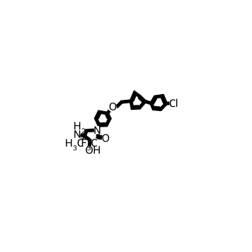 C[C@@](N)(CO)CN(C(=O)C(F)(F)F)c1ccc(OCCc2ccc(-c3ccc(Cl)cc3)cc2)cc1